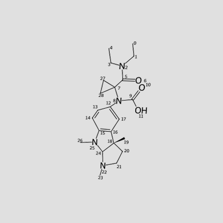 CCN(CC)C(=O)C1(N(C(=O)O)c2ccc3c(c2)[C@]2(C)CCN(C)C2N3C)CC1